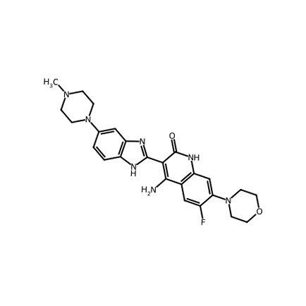 CN1CCN(c2ccc3[nH]c(-c4c(N)c5cc(F)c(N6CCOCC6)cc5[nH]c4=O)nc3c2)CC1